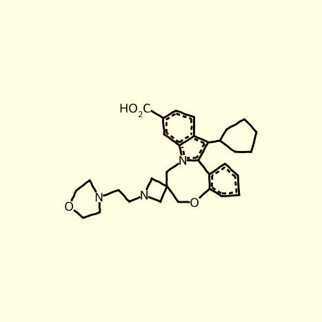 O=C(O)c1ccc2c(C3CCCCC3)c3n(c2c1)CC1(COc2ccccc2-3)CN(CCN2CCOCC2)C1